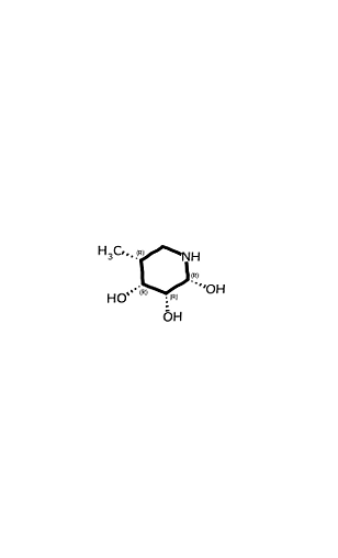 C[C@@H]1CN[C@H](O)[C@H](O)[C@@H]1O